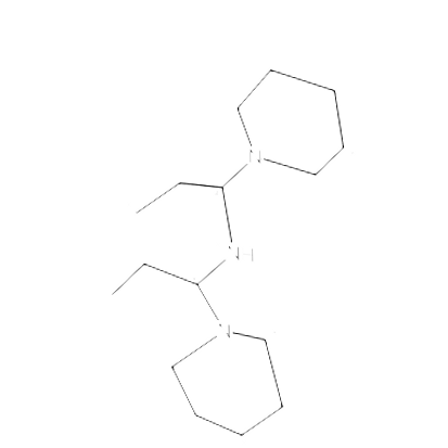 CCC(NC(CC)N1CCCCC1)N1CCCCC1